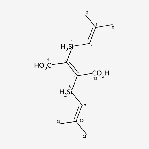 CC(C)=C[SiH2]C(C(=O)O)=C([SiH2]C=C(C)C)C(=O)O